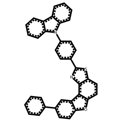 c1ccc(-c2ccc3oc4ccc5sc(-c6ccc(-n7c8ccccc8c8ccccc87)cc6)nc5c4c3c2)cc1